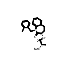 CN[C@@H](C)C(=O)N[C@H]1CCc2ccccc2N(Cc2ccccc2C)C1=O